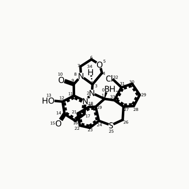 B[C@]1(N2[C@@H]3COCCN3C(=O)c3c(O)c(=O)ccn32)c2ccccc2SCc2cccc(Cl)c21